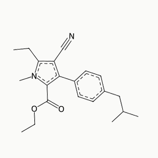 CCOC(=O)c1c(-c2ccc(CC(C)C)cc2)c(C#N)c(CC)n1C